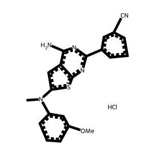 COc1cccc(N(C)c2cc3c(N)nc(-c4cccc(C#N)c4)nc3s2)c1.Cl